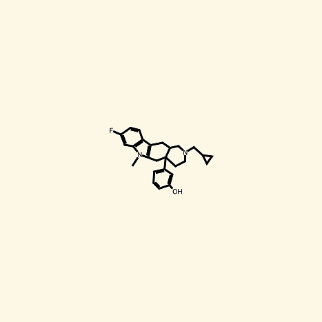 Cn1c2c(c3ccc(F)cc31)CC1CN(CC3CC3)CCC1(c1cccc(O)c1)C2